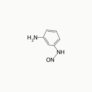 Nc1cccc(NN=O)c1